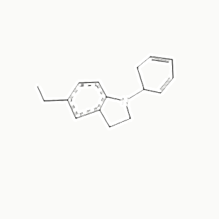 CCc1ccc2c(c1)CCN2C1C=CC=CC1